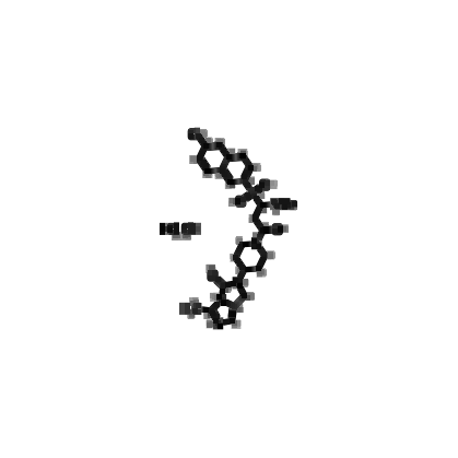 CNC(CC(=O)N1CCC(N2Cc3cnc(C)n3C2=O)CC1)S(=O)(=O)c1ccc2cc(Cl)ccc2c1.Cl.Cl